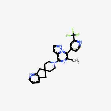 Cc1nc(N2CCC3(CC2)Cc2cccnc2C3)c2ccnn2c1-c1ccnc(C(F)(F)F)c1